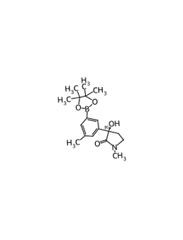 Cc1cc(B2OC(C)(C)C(C)(C)O2)cc([C@]2(O)CCN(C)C2=O)c1